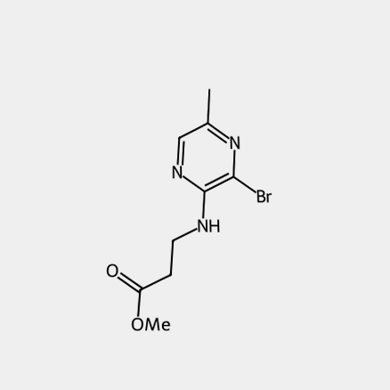 COC(=O)CCNc1ncc(C)nc1Br